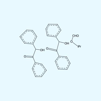 CC(C)OC=O.O=C(c1ccccc1)C(O)c1ccccc1.O=C(c1ccccc1)C(O)c1ccccc1